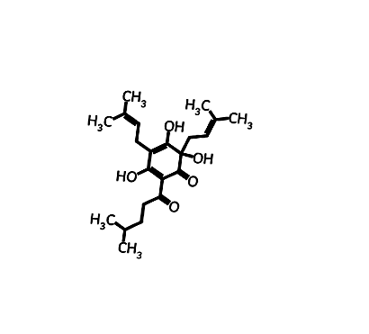 CC(C)=CCC1=C(O)C(O)(CC=C(C)C)C(=O)C(C(=O)CCC(C)C)=C1O